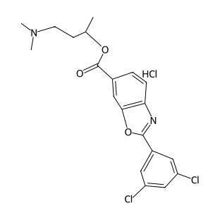 CC(CCN(C)C)OC(=O)c1ccc2nc(-c3cc(Cl)cc(Cl)c3)oc2c1.Cl